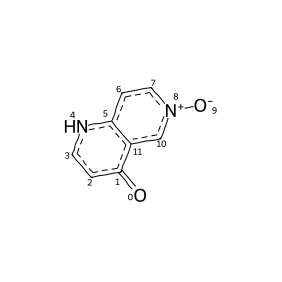 O=c1cc[nH]c2cc[n+]([O-])cc12